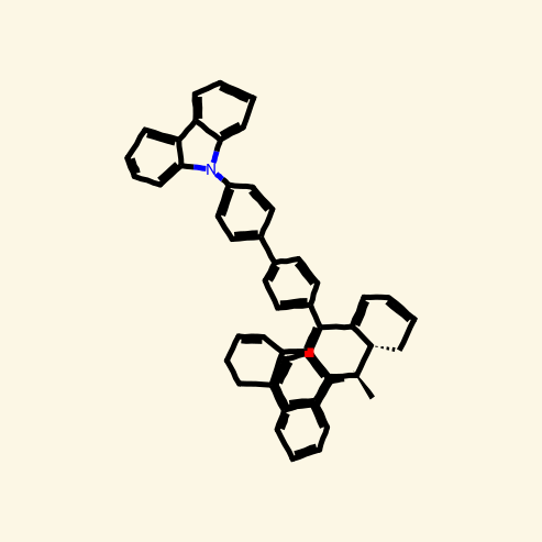 CC1C=CC=C/C1=C(/C1=CC=CC[C@@H]1[C@@H](C)c1cc2c(c3ccccc13)CCC=C2)c1ccc(-c2ccc(-n3c4ccccc4c4ccccc43)cc2)cc1